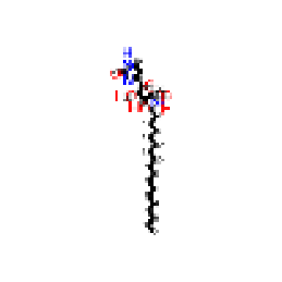 CCCCCCCCCCCCCCCCCCN[C@]1(CO)O[C@@H](c2cc[nH]c(=O)n2)[C@@H](O)[C@@H]1O